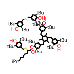 CC(C)(C)c1cc(CSCc2cc(C(C)(C)C)c(O)c(C(C)(C)C)c2)cc(C(C)(C)C)c1O.Cc1c(Cc2cc(C(C)(C)C)c(O)c(C(C)(C)C)c2)c(C)c(Cc2cc(C(C)(C)C)c(OC(=O)C(CCCCCC(C)C)SCc3cc(C(C)(C)C)c(O)c(C(C)(C)C)c3)c(C(C)(C)C)c2)c(C)c1Cc1cc(C(C)(C)C)c(O)c(C(C)(C)C)c1